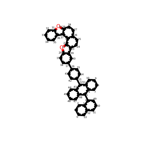 c1ccc2c(-c3c4ccccc4c(-c4ccc(-c5ccc6oc7c(ccc8ccc9oc%10ccccc%10c9c87)c6c5)cc4)c4ccccc34)cccc2c1